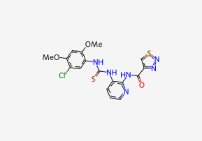 COc1cc(OC)c(NC(=S)Nc2cccnc2NC(=O)c2csnn2)cc1Cl